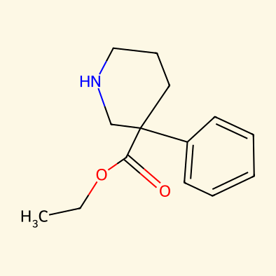 CCOC(=O)C1(c2ccccc2)CCCNC1